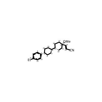 CCc1ccc([C@H]2CC[C@H]([C@H]3CC[C@@](C=CC#N)(OC)CC3)CC2)cc1